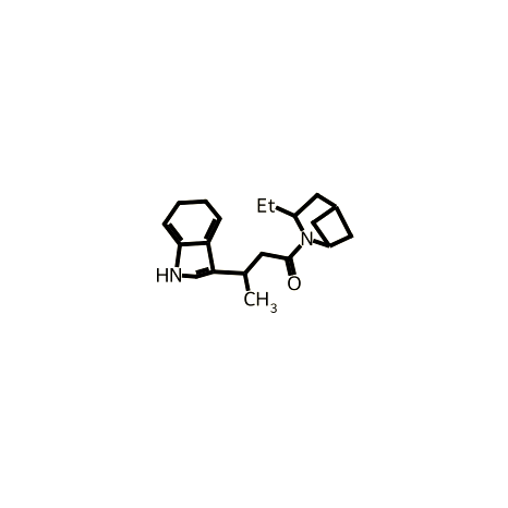 CCC1CC2CC(C2)N1C(=O)CC(C)c1c[nH]c2c1=CCCC=2